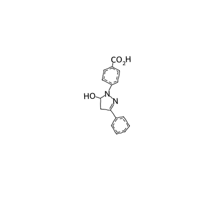 O=C(O)c1ccc(N2N=C(c3ccccc3)CC2O)cc1